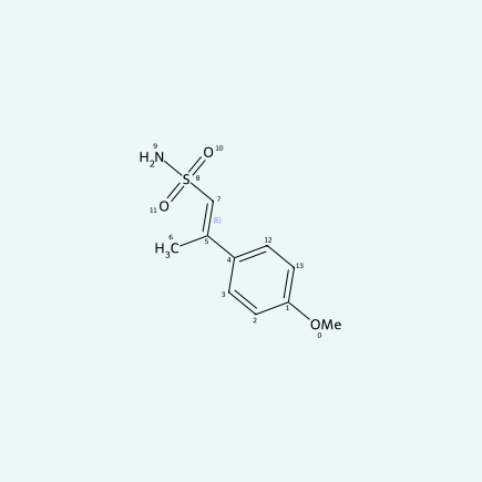 COc1ccc(/C(C)=C/S(N)(=O)=O)cc1